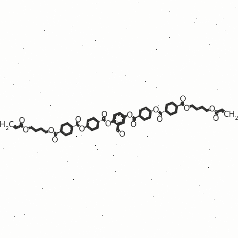 C=CC(=O)OCCCCOC(=O)[C@H]1CC[C@H](C(=O)O[C@H]2CC[C@H](C(=O)Oc3ccc(OC(=O)[C@H]4CC[C@H](OC(=O)[C@H]5CC[C@H](C(=O)OCCCCOC(=O)C=C)CC5)CC4)c(C=O)c3)CC2)CC1